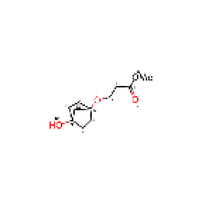 COC(=O)CCOC12CCC(O)(CC1)C2